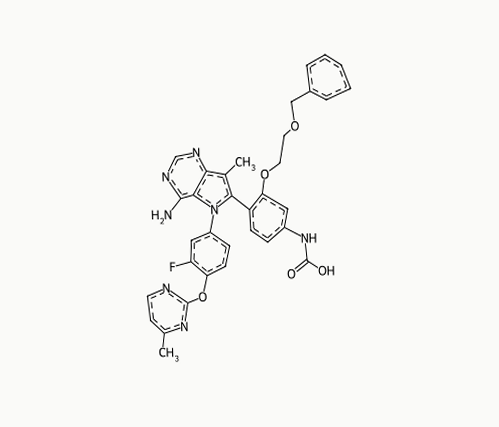 Cc1ccnc(Oc2ccc(-n3c(-c4ccc(NC(=O)O)cc4OCCOCc4ccccc4)c(C)c4ncnc(N)c43)cc2F)n1